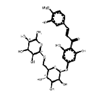 COc1ccc(C=CC(=O)c2c(O)cc(O[C@@H]3OC(CO[C@@H]4OC(C)[C@H](O)C(O)C4O)[C@@H](O)C(O)C3O)cc2O)cc1O